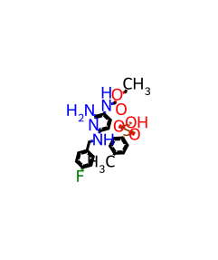 CCOC(=O)Nc1ccc(NCc2ccc(F)cc2)nc1N.Cc1ccc(S(=O)(=O)O)cc1